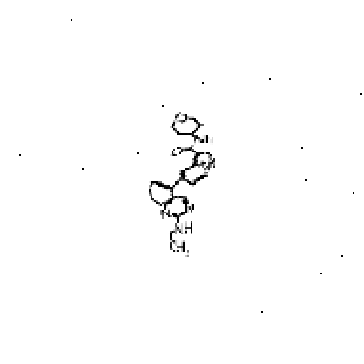 CCNc1ncc2c(n1)CCCC=C2c1ccn2ncc(C(=O)NC3CCOCC3)c2c1